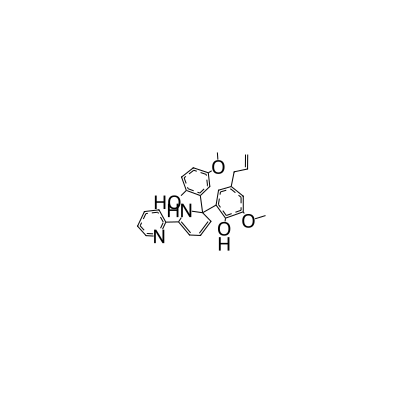 C=CCc1cc(OC)c(O)c(C2(c3cc(OC)ccc3O)C=CC=C(c3ccccn3)N2)c1